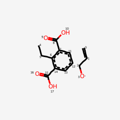 C=CC[O].CCc1c(C(=O)O)cccc1C(=O)O